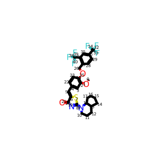 COc1cc(/C=C2\SC(N3CCCC4CCCCC43)=NC2=O)ccc1OCc1ccc(C(F)(F)F)cc1C(F)(F)F